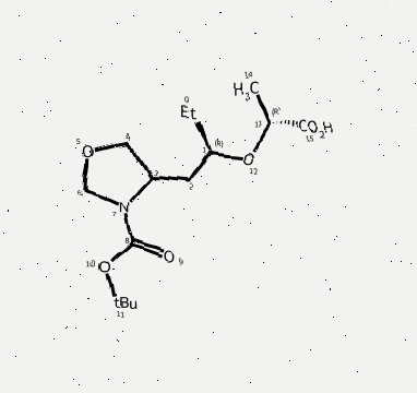 CC[C@H](CC1COCN1C(=O)OC(C)(C)C)O[C@H](C)C(=O)O